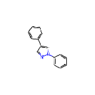 [c]1c(-c2ccccc2)cnn1-c1ccccc1